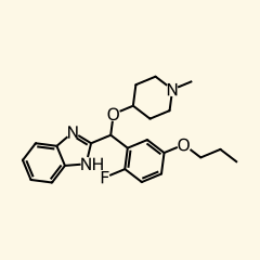 CCCOc1ccc(F)c(C(OC2CCN(C)CC2)c2nc3ccccc3[nH]2)c1